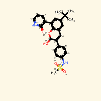 CC(C)(C)c1cc2c(c(-c3ccc[nH]c3=O)c1)OC(O)C(c1ccc(NS(C)(=O)=O)cc1)=C2